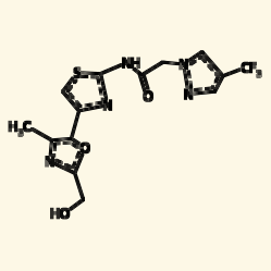 Cc1nc(CO)oc1-c1csc(NC(=O)Cn2cc(C(F)(F)F)cn2)n1